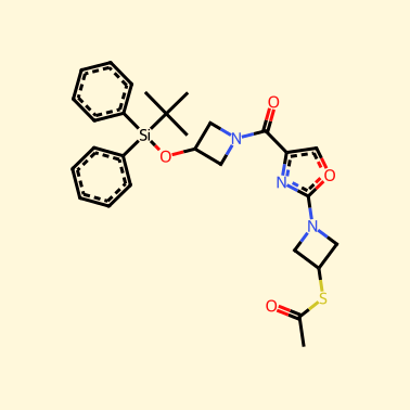 CC(=O)SC1CN(c2nc(C(=O)N3CC(O[Si](c4ccccc4)(c4ccccc4)C(C)(C)C)C3)co2)C1